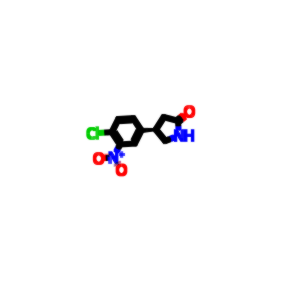 O=C1C[C@H](c2ccc(Cl)c([N+](=O)[O-])c2)CN1